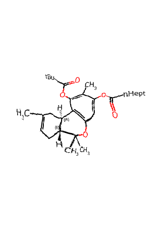 CCCCCCCC(=O)Oc1cc2c(c(OC(=O)C(C)(C)C)c1C)[C@@H]1CC(C)=CC[C@H]1C(C)(C)O2